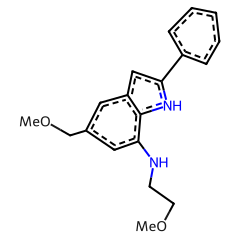 COCCNc1cc(COC)cc2cc(-c3ccccc3)[nH]c12